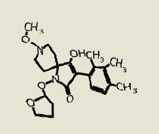 CON1CCC2(CC1)C(O)=C(c1ccc(C)c(C)c1C)C(=O)N2OC1CCCO1